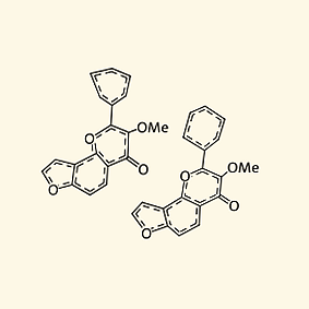 COc1c(-c2ccccc2)oc2c(ccc3occc32)c1=O.COc1c(-c2ccccc2)oc2c(ccc3occc32)c1=O